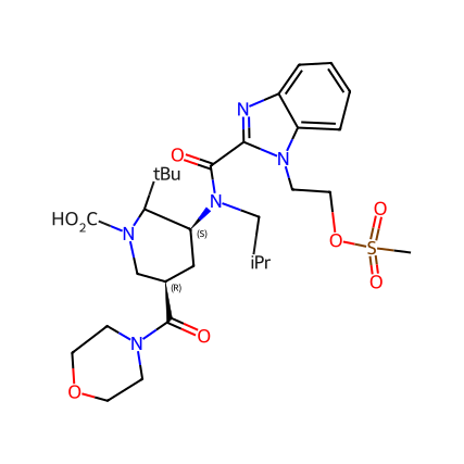 CC(C)CN(C(=O)c1nc2ccccc2n1CCOS(C)(=O)=O)[C@H]1C[C@@H](C(=O)N2CCOCC2)CN(C(=O)O)C1C(C)(C)C